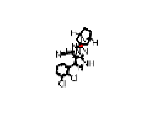 N#Cc1nc(N2[C@@H]3CC[C@H]2C[C@H](N)C3)nc2[nH]nc(-c3cccc(Cl)c3Cl)c12